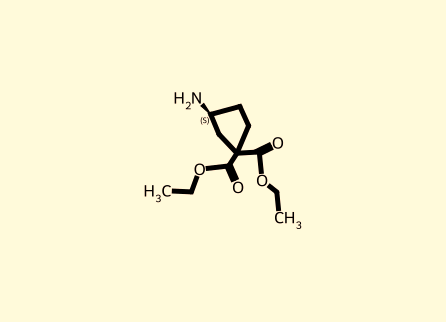 CCOC(=O)C1(C(=O)OCC)CC[C@H](N)C1